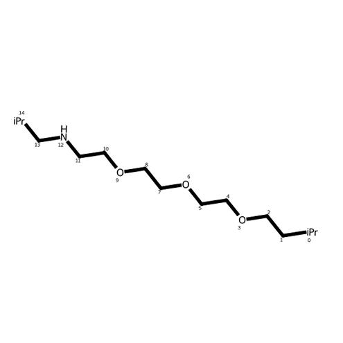 CC(C)CCOCCOCCOCCNCC(C)C